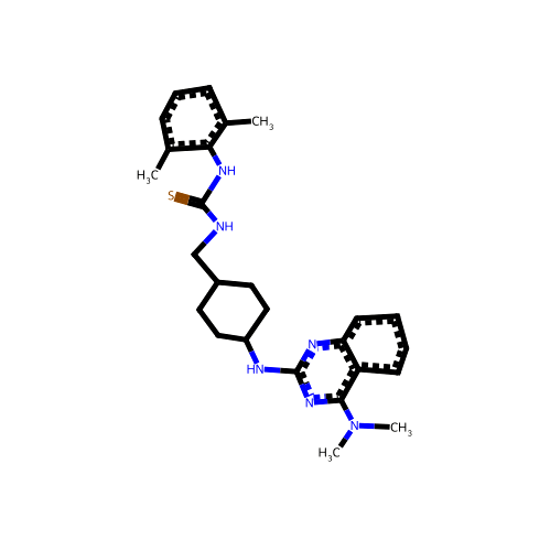 Cc1cccc(C)c1NC(=S)NCC1CCC(Nc2nc(N(C)C)c3ccccc3n2)CC1